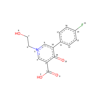 O=C(O)c1cn(CCO)cc(-c2ccc(F)cc2)c1=O